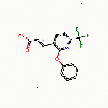 O=C(O)/C=C/c1ccc(C(F)(F)F)nc1Oc1ccccc1